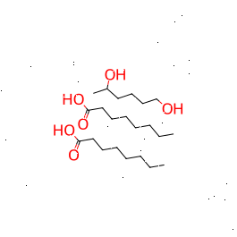 CC(O)CCCCO.CCCCCCCC(=O)O.CCCCCCCC(=O)O